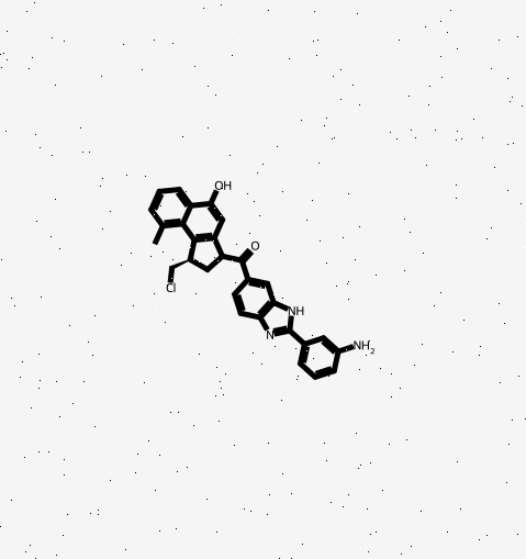 Cc1cccc2c(O)cc3c(c12)[C@H](CCl)CC3C(=O)c1ccc2nc(-c3cccc(N)c3)[nH]c2c1